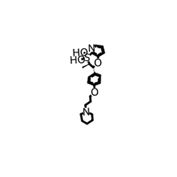 C[C@@H]1[C@@H](c2ccc(OCCCN3CCCCC3)cc2)Oc2cccnc2S1(O)O